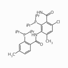 Cc1ccc(C(=O)Nc2c(C)cc(Cl)c(C([NH])=O)c2P(C(C)C)C(C)C)c(P(C(C)C)C(C)C)c1